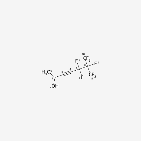 CC(O)C#CC(F)(F)C(F)(C(F)(F)F)C(F)(F)F